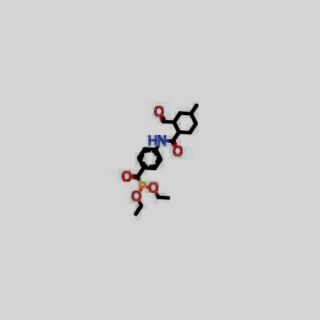 CCOP(OCC)C(=O)c1ccc(NC(=O)C2CCC(C)CC2C=O)cc1